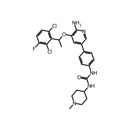 CC(Oc1cc(-c2ccc(NC(=O)NC3CCN(C)CC3)cc2)cnc1N)c1c(Cl)ccc(F)c1Cl